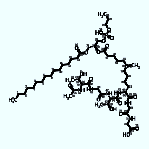 CCCCCCCCCCCCCCCC(=O)OC[C@H](COP(=O)(O)OCCC)OC(=O)CCCCN(C)CCCC[C@H](NC(=O)[C@@H](NC(=O)CNC(=O)[C@@H](NC(C)=O)[C@@H](C)O)[C@@H](C)O)C(=O)NCC(=O)NCC(=O)O